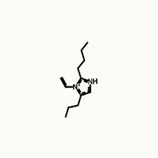 C=C[n+]1c(CCC)c[nH]c1CCCC